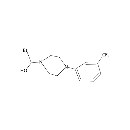 CCC(O)N1CCN(c2cccc(C(F)(F)F)c2)CC1